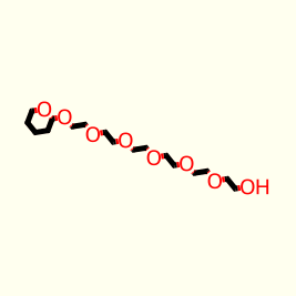 OCCOCCOCCOCCOCCOCCOC1CCCCO1